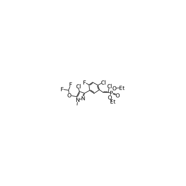 CCOP(=O)(OCC)/C(Cl)=C/c1cc(-c2nn(C)c(OC(F)F)c2Cl)c(F)cc1Cl